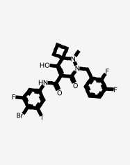 CN1N(Cc2cccc(F)c2F)C(=O)C(C(=O)Nc2cc(F)c(Br)c(I)c2)=C(O)C12CCC2